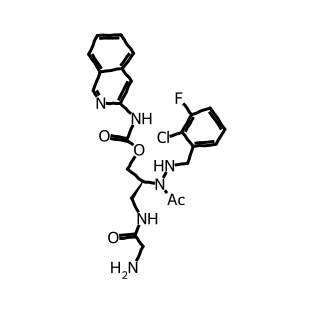 CC(=O)N(NCc1cccc(F)c1Cl)[C@@H](CNC(=O)CN)COC(=O)Nc1cc2ccccc2cn1